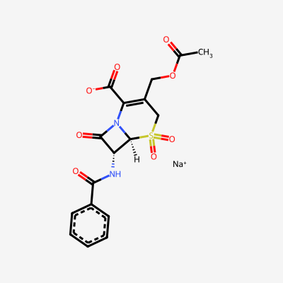 CC(=O)OCC1=C(C(=O)[O-])N2C(=O)[C@@H](NC(=O)c3ccccc3)[C@@H]2S(=O)(=O)C1.[Na+]